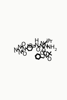 CC(C)c1nn(C(=O)NC(C)(C)C)c(=O)n1N.CC1(C)CON(Cc2ccccc2Cl)C1=O.CN(C)c1nc(=O)n(C2CCCCC2)c(=O)n1C